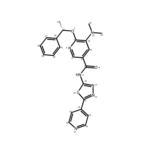 C[C@H](Oc1ncc(C(=O)Nc2nnc(-c3ccncc3)s2)cc1N(C)C)c1ccccc1